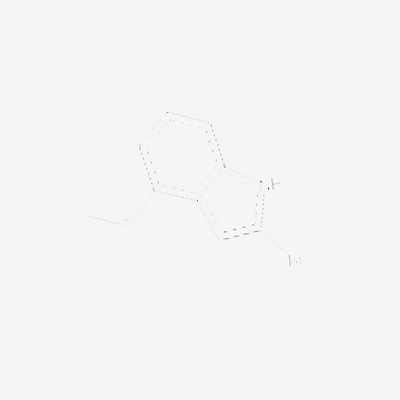 CSc1cccc2[nH]c(Br)cc12